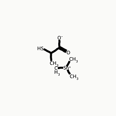 CC(S)C(=O)[O-].[CH3][Sn+]([CH3])[CH3]